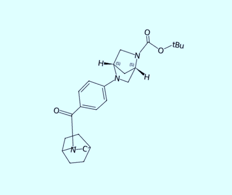 CC(C)(C)OC(=O)N1C[C@@H]2C[C@H]1CN2c1ccc(C(=O)N2CC3CCC(CC3)C2)cc1